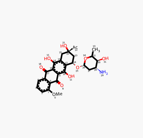 COc1cccc2c1C(=O)c1c(O)c3c(c(O)c1C2=O)C[C@@](O)(C(C)=O)C[C@@H]3O[C@H]1C[C@@H](N)[C@H](O)C(C)O1